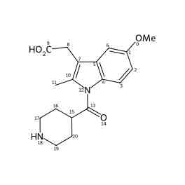 COc1ccc2c(c1)c(CC(=O)O)c(C)n2C(=O)C1CCNCC1